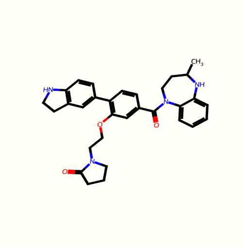 CC1CCN(C(=O)c2ccc(-c3ccc4c(c3)CCN4)c(OCCN3CCCC3=O)c2)c2ccccc2N1